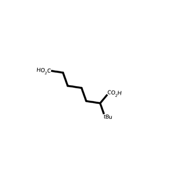 CC(C)(C)C(CCCCC(=O)O)C(=O)O